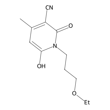 CCOCCCn1c(O)cc(C)c(C#N)c1=O